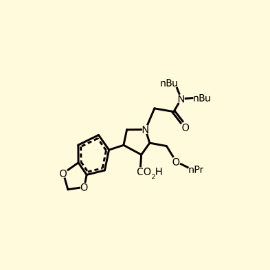 CCCCN(CCCC)C(=O)CN1CC(c2ccc3c(c2)OCO3)C(C(=O)O)C1COCCC